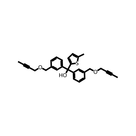 CC#CCOCc1cccc(C(O)(c2cccc(COCC#CC)c2)c2ccc(C)s2)c1